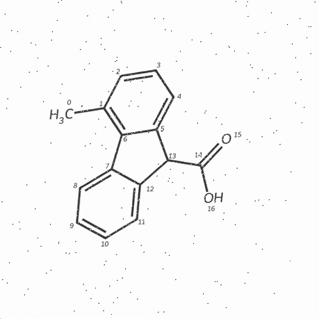 Cc1cccc2c1-c1ccccc1C2C(=O)O